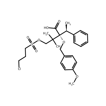 COc1ccc(CO[C@](C(=O)O)([C@@H](C)c2ccccc2)C(C)(C)COS(=O)(=O)CCCCl)cc1